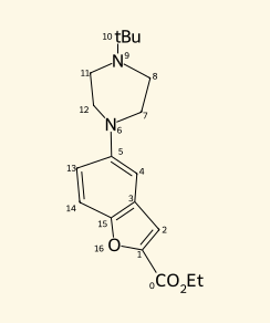 CCOC(=O)c1cc2cc(N3CCN(C(C)(C)C)CC3)ccc2o1